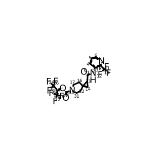 O=C(Nc1cccnc1C(F)(F)F)C1CC12CCN(C(=O)OC(C(F)(F)F)C(F)(F)F)CC2